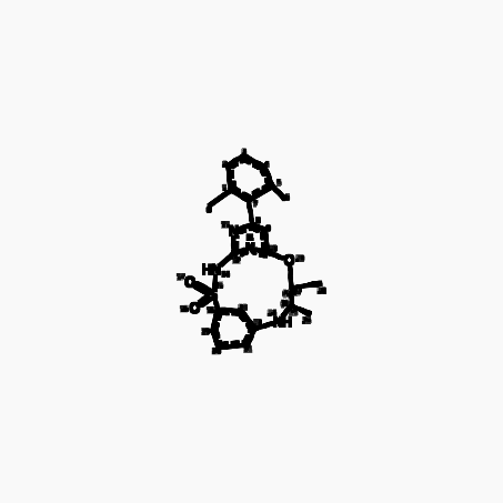 Cc1cccc(C)c1-c1cc2nc(n1)NS(=O)(=O)c1cccc(c1)N[C@H](C)[C@H](C)O2